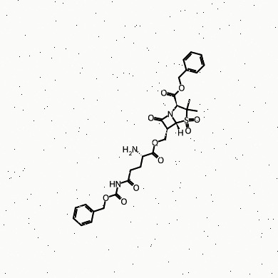 CC1(C)[C@H](C(=O)OCc2ccccc2)N2C(=O)[C@H](COC(=O)[C@@H](N)CCC(=O)NC(=O)OCc3ccccc3)[C@H]2S1(=O)=O